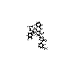 CC(=O)c1cccc(N2C[C@@H](C(=O)N[C@@H](Cc3ccccc3)[C@H](O)CN(CC(C)C)S(=O)(=O)c3ccc(C)c(F)c3)OC2=O)c1